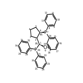 C[C@H](C1CCC[C@H]1P(c1ccccc1)c1ccccc1)P(c1ccccc1)c1ccccc1